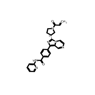 C=CC(=O)N1CC[C@@H](c2nc(-c3ccc(C(=O)Nc4ccccn4)cc3)c3cnccn23)C1